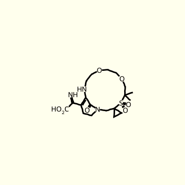 CC1(C)COCCOCCNC2=C(C(=N)C(=O)O)CCN(CC3(CC3)S1(=O)=O)C2=O